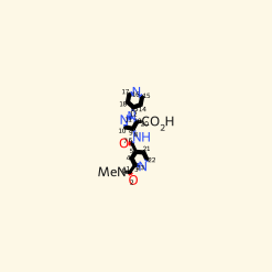 CNC(=O)c1cc(C(=O)Nc2cnn(-c3ccncc3)c2C(=O)O)ccn1